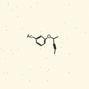 CC#CC(C)Oc1cccc(C(C)=O)c1